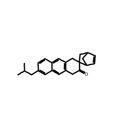 CC(C)Cc1ccc2cc3c(cc2c1)CC(=O)C1(C3)CC2C=CC1C2